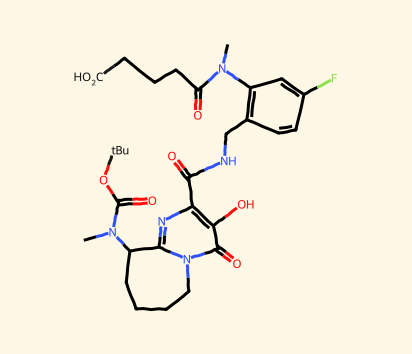 CN(C(=O)CCCC(=O)O)c1cc(F)ccc1CNC(=O)c1nc2n(c(=O)c1O)CCCCC2N(C)C(=O)OC(C)(C)C